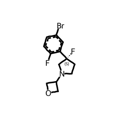 Fc1ccc(Br)cc1[C@@]1(F)CCN(C2COC2)C1